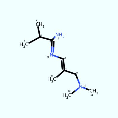 C/C(=C\N=C(/N)C(C)C)CN(C)C